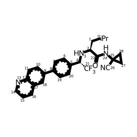 CC(C)C[C@H](N[C@@H](c1ccc(-c2ccc3ncccc3c2)cc1)C(F)(F)F)C(=O)NC1(C#N)CC1